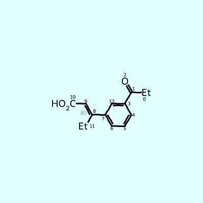 CCC(=O)c1cccc(/C(=C/C(=O)O)CC)c1